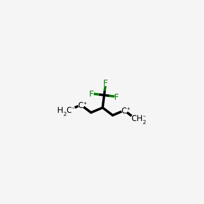 [CH2-][CH+]CC(C[CH+][CH2-])C(F)(F)F